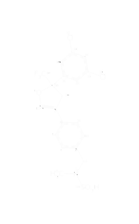 CN(Cc1ccc(C2=NOC(c3cc(Cl)cc(Cl)c3)(C(F)(F)F)C2)cc1)S(=O)(=O)O